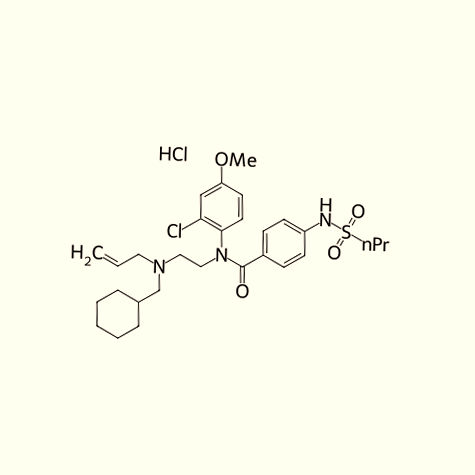 C=CCN(CCN(C(=O)c1ccc(NS(=O)(=O)CCC)cc1)c1ccc(OC)cc1Cl)CC1CCCCC1.Cl